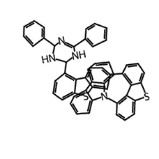 c1ccc(C2=NC(c3ccccc3)NC(c3cccc4sc5cc(-c6cccc7sc8cccc(-n9c%10ccccc%10c%10ccccc%109)c8c67)ccc5c34)N2)cc1